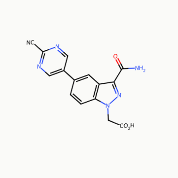 N#Cc1ncc(-c2ccc3c(c2)c(C(N)=O)nn3CC(=O)O)cn1